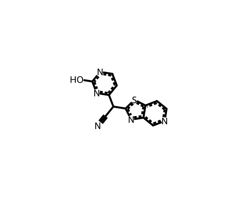 N#CC(c1ccnc(O)n1)c1nc2cnccc2s1